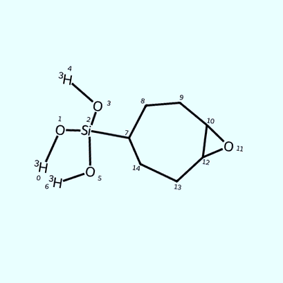 [3H]O[Si](O[3H])(O[3H])C1CCC2OC2CC1